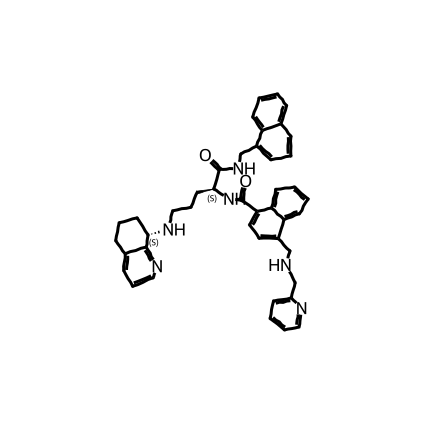 O=C(N[C@@H](CCCN[C@H]1CCCc2cccnc21)C(=O)NCc1cccc2ccccc12)c1ccc(CNCc2ccccn2)c2ccccc12